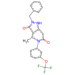 Cc1c2c(=O)n(Cc3ccccc3)[nH]c2cc(=O)n1-c1cccc(OC(F)(F)F)c1